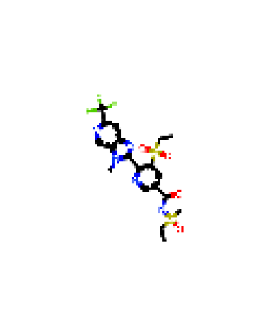 CCS(=O)(=O)c1cc(C(=O)N=S(C)(=O)CC)cnc1-c1nc2cc(C(F)(F)F)ncc2n1C